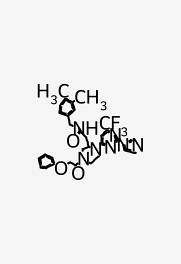 Cc1ccc(CNC(=O)CC2CN(C(=O)COc3ccccc3)CCN2c2cc(C(F)(F)F)nc(-n3ccnc3)n2)cc1C